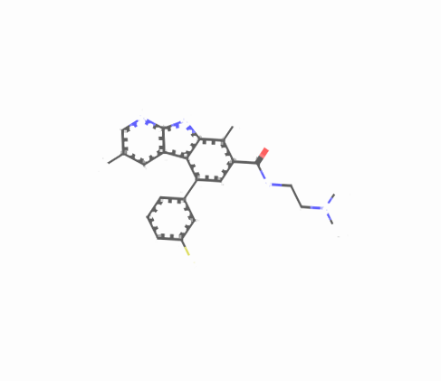 Cc1cnc2[nH]c3c(C)c(C(=O)NCCN(C)C)cc(-c4cccc(S)c4)c3c2c1